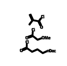 C=C(C)C(=O)Cl.CCCCCCCCCCCCCC(=O)Cl.COCC(=O)Cl